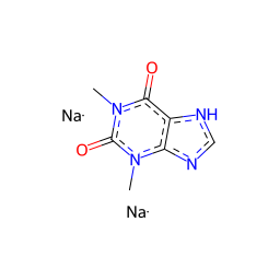 Cn1c(=O)c2[nH]cnc2n(C)c1=O.[Na].[Na]